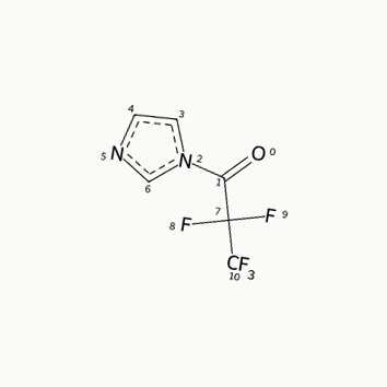 O=C(n1ccnc1)C(F)(F)C(F)(F)F